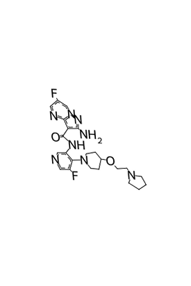 Nc1nn2cc(F)cnc2c1C(=O)Nc1cncc(F)c1N1CCC(OCCN2CCCC2)CC1